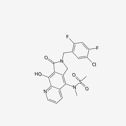 CN(c1c2c(c(O)c3ncccc13)C(=O)N(Cc1cc(Cl)c(F)cc1F)C2)S(C)(=O)=O